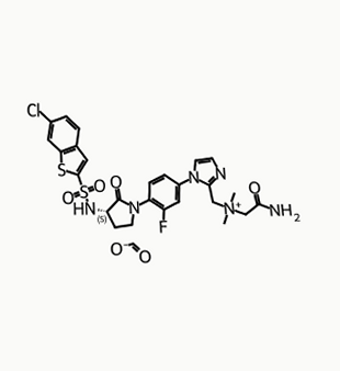 C[N+](C)(CC(N)=O)Cc1nccn1-c1ccc(N2CC[C@H](NS(=O)(=O)c3cc4ccc(Cl)cc4s3)C2=O)c(F)c1.O=C[O-]